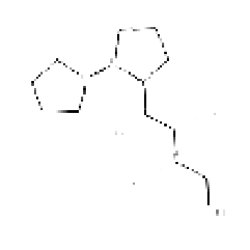 OC[C@H](O)[C@@H](O)[C@H](O)C1CCCN1N1CCCC1